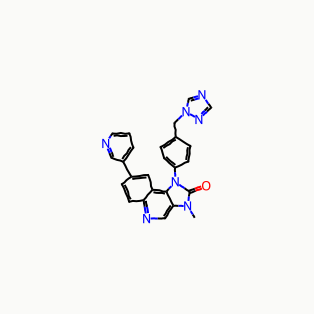 Cn1c(=O)n(-c2ccc(Cn3cncn3)cc2)c2c3cc(-c4cccnc4)ccc3ncc21